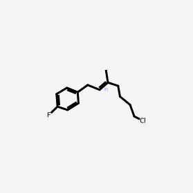 C/C(=C\Cc1ccc(F)cc1)CCCCCl